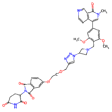 COc1cc(-c2cn(C)c(=O)c3cnccc23)cc(OC)c1CN1CC(n2cc(COCCOc3ccc4c(c3)C(=O)N(C3CCC(=O)NC3=O)C4=O)nn2)C1